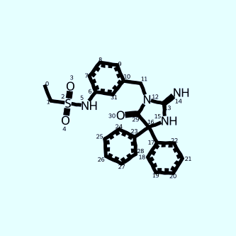 CCS(=O)(=O)Nc1cccc(CN2C(=N)NC(c3ccccc3)(c3ccccc3)C2=O)c1